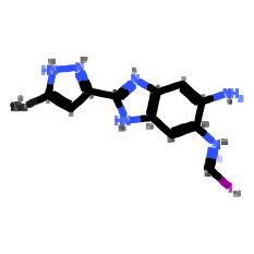 CC(C)(C)c1cc(-c2nc3cc(N)c(/N=C/I)cc3[nH]2)n[nH]1